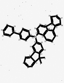 CC1(C)c2ccccc2-c2cc(N(c3ccc(-c4ccccc4)cc3)c3ccc4c5c(cccc35)-c3ccccc3-4)ccc21